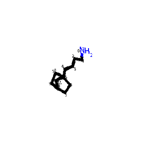 NCCCCC12CCC(CC1)C2